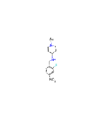 CC(=O)N1CCC(NCc2ccc([N+](=O)[O-])cc2F)CC1